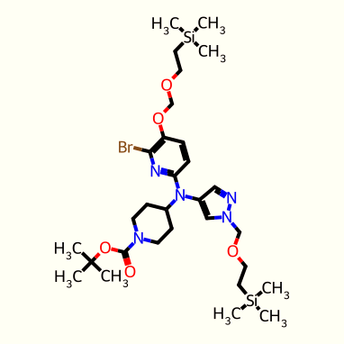 CC(C)(C)OC(=O)N1CCC(N(c2cnn(COCC[Si](C)(C)C)c2)c2ccc(OCOCC[Si](C)(C)C)c(Br)n2)CC1